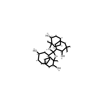 CC1(C)CCCC(C(OC2(C)CCCCC2O)(OC2(C)CCCCC2O)C2CCCCC(O)C2)C1O